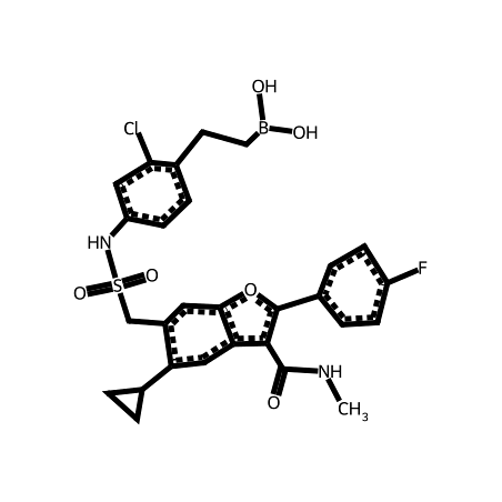 CNC(=O)c1c(-c2ccc(F)cc2)oc2cc(CS(=O)(=O)Nc3ccc(CCB(O)O)c(Cl)c3)c(C3CC3)cc12